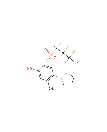 Cc1cc(O)ccc1[S+]1CCCC1.O=S(=O)([O-])C(F)(F)C(F)(F)C(F)(F)C(F)(F)F